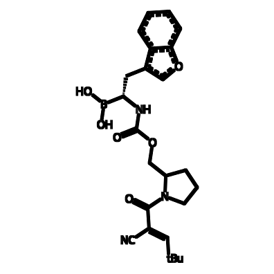 CC(C)(C)C=C(C#N)C(=O)N1CCCC1COC(=O)N[C@@H](Cc1coc2ccccc12)B(O)O